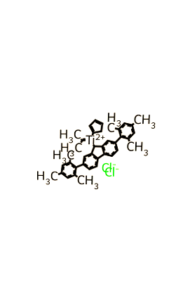 C[C](C)=[Ti+2]([C]1=CC=CC1)[CH]1c2cc(-c3c(C)cc(C)cc3C)ccc2-c2ccc(-c3c(C)cc(C)cc3C)cc21.[Cl-].[Cl-]